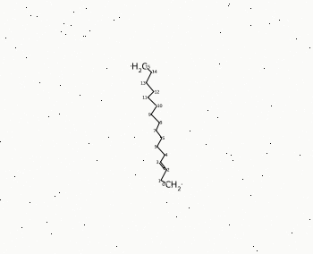 [CH2]CC=CCCCCCCCCCCC[CH2]